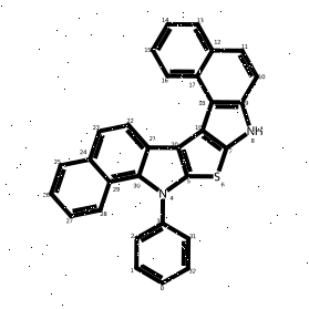 c1ccc(-n2c3sc4[nH]c5ccc6ccccc6c5c4c3c3ccc4ccccc4c32)cc1